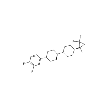 Fc1ccc([C@H]2CC[C@H]([C@H]3CC[C@H](C4(F)CC4(F)F)CC3)CC2)cc1F